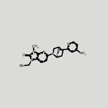 Cn1c(=O)n(CC(C)(C)C)c2ccc(N3CC4CCC3CN4c3cc(N)ccn3)nc21